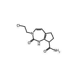 NC(=O)C1CCC2=C1NC(=O)N(CCCl)C=C2